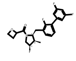 C[C@H]1[C@@H](F)CN(C(=O)C2CCO2)[C@H]1Cc1cccc(-c2cc(F)cc(F)c2)c1F